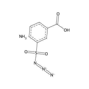 N.[N-]=[N+]=NS(=O)(=O)c1cccc(C(=O)O)c1